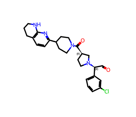 O=C[C@@H](c1cccc(Cl)c1)N1CC[C@@H](C(=O)N2CCC(c3ccc4c(n3)NCCC4)CC2)C1